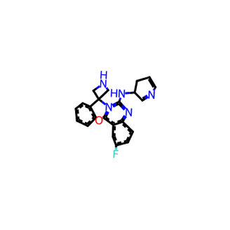 O=c1c2cc(F)ccc2nc(NC2C=NC=CC2)n1C1(c2ccccc2)CNC1